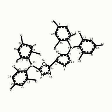 Cc1cc(C)c(B(c2nnc(-c3nnc(B(c4c(C)cc(C)cc4C)c4c(C)cc(C)cc4C)o3)o2)c2c(C)cc(C)cc2C)c(C)c1